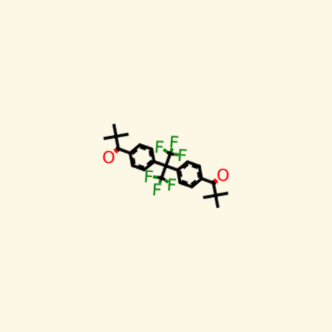 CC(C)(C)C(=O)c1ccc(C(c2ccc(C(=O)C(C)(C)C)cc2)(C(F)(F)F)C(F)(F)F)cc1